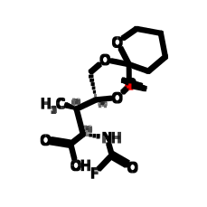 C[C@@H]([C@@H]1COC2(CCCCO2)C2(CCCCO2)O1)[C@H](NC(=O)F)C(=O)O